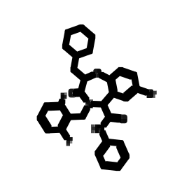 O=C(Nc1ccccc1)C1c2cc(Br)ccc2OC(CC2CCCCC2)C(=O)N1Cc1c(F)cccc1F